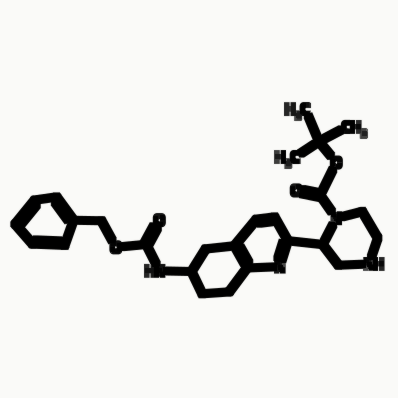 CC(C)(C)OC(=O)N1CCNCC1c1ccc2c(n1)CCC(NC(=O)OCc1ccccc1)C2